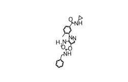 Cc1ccc(C(=O)NC2CC2)cc1-n1ncc(OC(=O)NCc2ccccc2)c1N